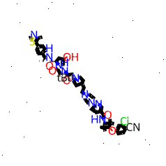 Cc1ncsc1-c1ccc([C@H](C)NC(=O)[C@@H]2C[C@@H](O)CN2C(=O)[C@@H](NC(=O)CN2CCC(CCN3CCN(c4ccc(C(=O)N[C@H]5C(C)(C)[C@H](Oc6ccc(C#N)c(Cl)c6)C5(C)C)cn4)CC3)CC2)C(C)(C)C)cc1